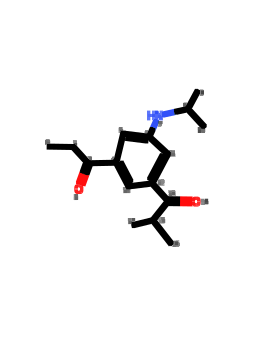 CCC(=O)c1cc(NC(C)C)cc(C(=O)C(C)C)c1